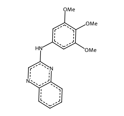 COc1cc(Nc2cnc3ccccc3n2)cc(OC)c1OC